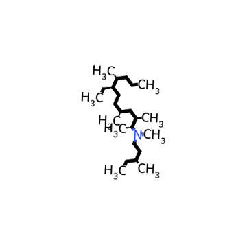 CCC[C@@H](C)[C@H](CC)CC[C@@H](C)C[C@@H](C)[C@@H](C)N(C)CC[C@@H](C)CC